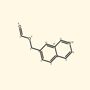 O=COCc1ccc2ccncc2c1